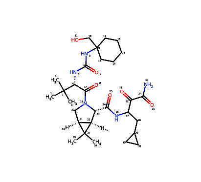 CC(C)(C)[C@H](NC(=O)NC1(CO)CCCCC1)C(=O)N1C[C@H]2[C@@H]([C@H]1C(=O)NC(CC1CC1)C(=O)C(N)=O)C2(C)C